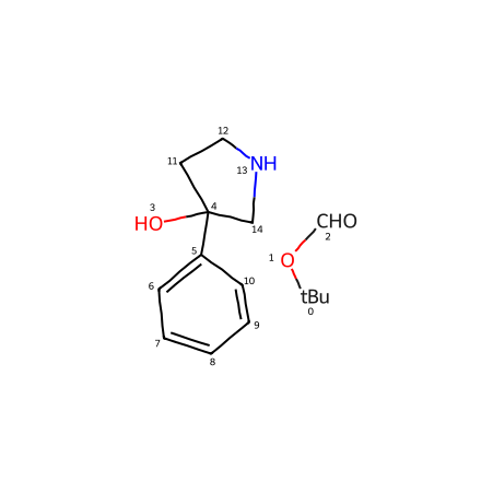 CC(C)(C)OC=O.OC1(c2ccccc2)CCNC1